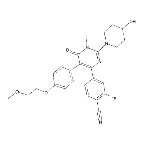 COCCOc1ccc(-c2c(-c3ccc(C#N)c(F)c3)nc(N3CCC(O)CC3)n(C)c2=O)cc1